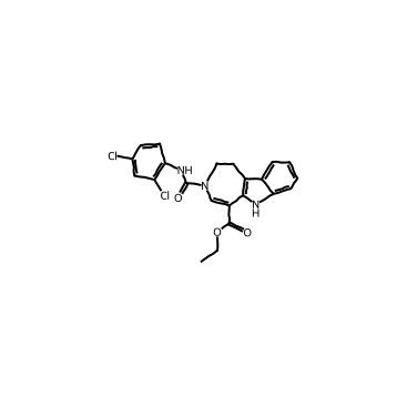 CCOC(=O)C1=CN(C(=O)Nc2ccc(Cl)cc2Cl)CCc2c1[nH]c1ccccc21